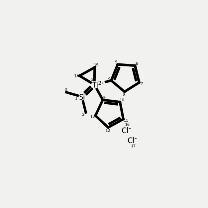 C[Si](C)=[Ti+2]1([C]2=CC=CC2)([C]2=CC=CC2)[CH2][CH2]1.[Cl-].[Cl-]